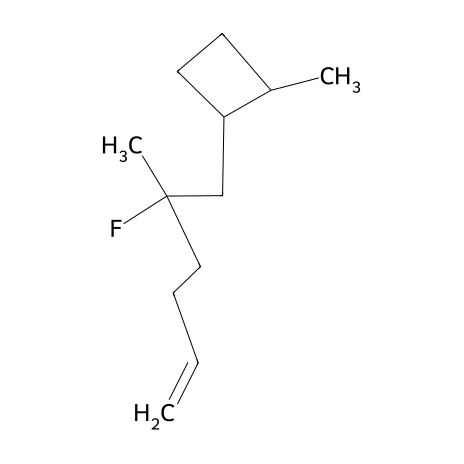 C=CCCC(C)(F)CC1CCC1C